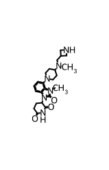 CN(CC1CNC1)C1CCN(c2cccc3c2n(C)c(=O)n3C2CCC(=O)NC2=O)CC1